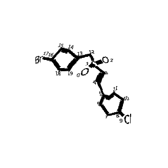 O=S(=O)(C=Cc1ccc(Cl)cc1)Cc1ccc(Br)cc1